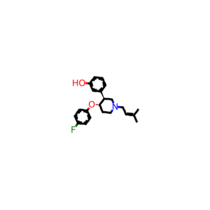 CC(C)=CCN1CC[C@H](Oc2ccc(F)cc2)[C@@H](c2cccc(O)c2)C1